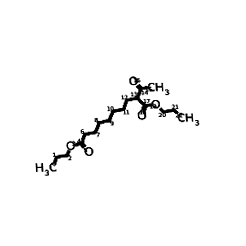 CCCOC(=O)CCCCCCCC(C(C)=O)C(=O)OCCC